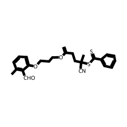 C=C(CCC(C)(C#N)SC(=S)c1ccccc1)OCCCOc1cccc(C)c1C=O